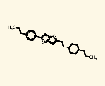 CCCc1ccc(-c2cc3sc(CC[C@H]4CC[C@H](CCC)CC4)cc3s2)cc1